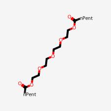 CCCCCC(=O)OCCOCCOCCOCCOC(=O)CCCCC